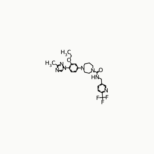 CCOc1cc(N2CCCN(C(=O)NCc3ccc(C(F)(F)F)nc3)CC2)ccc1-n1cnc(C)n1